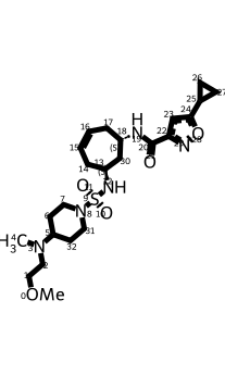 COCCN(C)C1CCN(S(=O)(=O)N[C@H]2CC=CC[C@H](NC(=O)c3cc(C4CC4)on3)C2)CC1